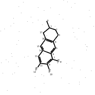 CC1CCc2cc3c(F)c(F)c(F)cc3cc2C1